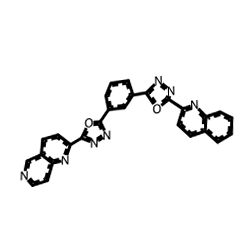 c1cc(-c2nnc(-c3ccc4ccccc4n3)o2)cc(-c2nnc(-c3ccc4cnccc4n3)o2)c1